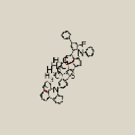 CC1(C)c2cc(N(c3ccccc3)c3ccccc3-c3ccccc3)ccc2-c2sc3c(c21)C(C)(C)c1cc(N(c2ccccc2)c2c(F)cc(-c4ccccc4)cc2-c2ccccc2)ccc1-3